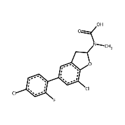 CN(C(=O)O)C1Cc2cc(-c3ccc(Cl)cc3F)cc(Cl)c2O1